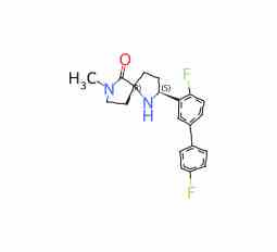 CN1CC[C@]2(CC[C@@H](c3cc(-c4ccc(F)cc4)ccc3F)N2)C1=O